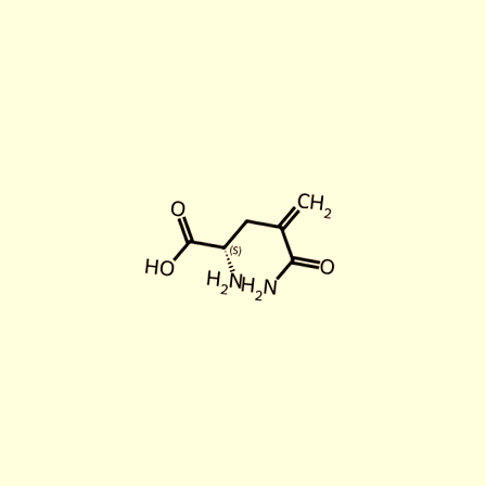 C=C(C[C@H](N)C(=O)O)C(N)=O